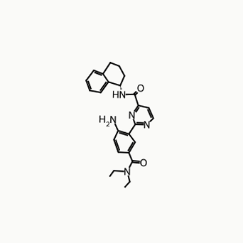 CCN(CC)C(=O)c1ccc(N)c(-c2nccc(C(=O)N[C@H]3CCCc4ccccc43)n2)c1